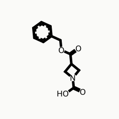 O=C(OCc1ccccc1)C1CN(C(=O)O)C1